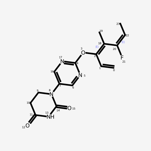 C=C/C(Oc1ncc(N2CCC(=O)NC2=O)cn1)=C(C)\C(F)=C/C